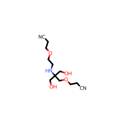 N#CCCOCCNC(CO)(CO)COCCC#N